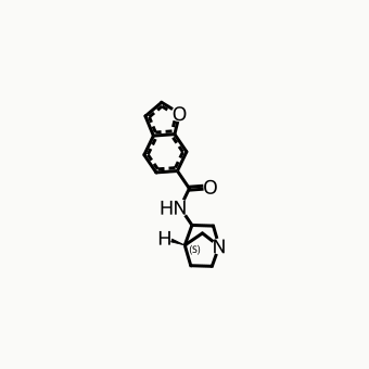 O=C(NC1CN2CC[C@H]1C2)c1ccc2ccoc2c1